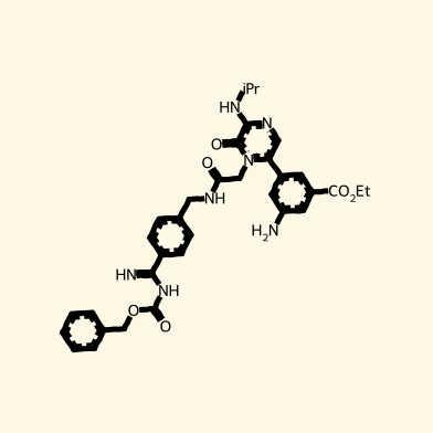 CCOC(=O)c1cc(N)cc(-c2cnc(NC(C)C)c(=O)n2CC(=O)NCc2ccc(C(=N)NC(=O)OCc3ccccc3)cc2)c1